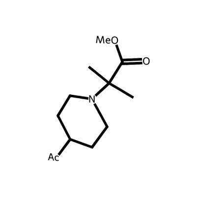 COC(=O)C(C)(C)N1CCC(C(C)=O)CC1